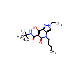 CCCCn1c(=O)c(C(=O)NC(C)(C)C)c(O)c2nn(CC)cc21